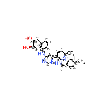 C[C@@H](Nc1nc(C(F)(F)F)ccc1-c1cc(Nc2cccc3c2C[C@@H](O)[C@@H](O)C3)ncn1)c1ccc(C(F)(F)F)cc1